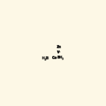 B.[BiH3].[Co].[V].[Zn]